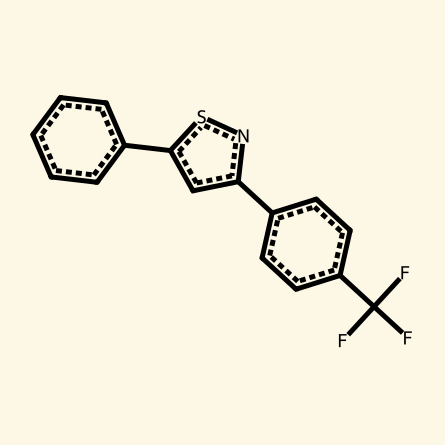 FC(F)(F)c1ccc(-c2cc(-c3ccccc3)sn2)cc1